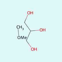 COC.OCC(O)CO